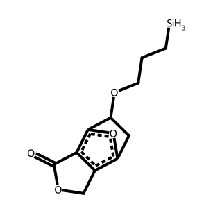 O=C1OCc2c3oc(c21)C(OCCC[SiH3])C3